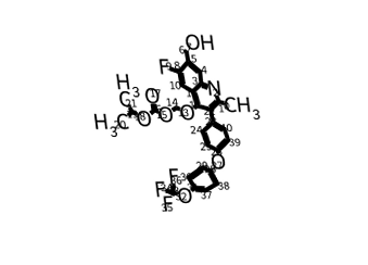 Cc1nc2cc(CO)c(F)cc2c(OCOC(=O)OC(C)C)c1-c1ccc(Oc2ccc(OC(F)(F)F)cc2)cc1